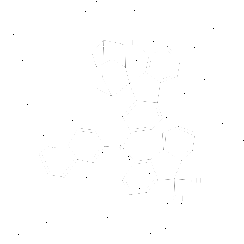 CC1(C)c2ccccc2-c2c(N(c3ccc4c(c3)C3(c5c(F)cccc5-4)C4CC5CC(C4)CC3C5)c3ccc4ccccc4c3)cccc21